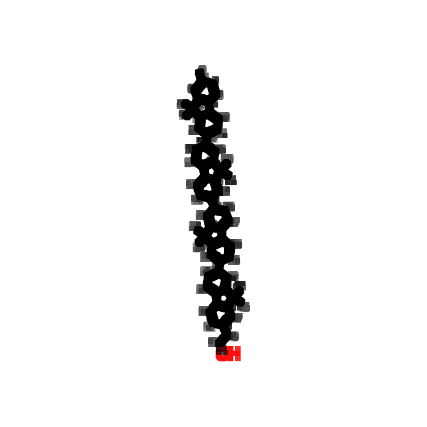 Cc1ccc2c(c1)C(C)(C)c1cc(-c3ccc4c(c3)C(C)(C)c3cc(-c5ccc6c(c5)C(C)(C)c5cc(-c7ccc8c(c7)C(C)(C)c7cc(CCO)ccc7-8)ccc5-6)ccc3-4)ccc1-2